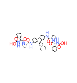 CCCCC1(CCCC)c2cc(NC(=O)[C@@H]3CCCN3C(=O)C(NC(=O)O)c3ccccc3)ccc2-c2ccc(NC(=O)[C@@H]3CCCN3C(=O)C(NC(=O)O)c3ccccc3)cc21